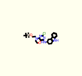 CC(C)(C)[Si](C)(C)OCCN1CCOc2c(N[C@@H]3CCc4[nH]c5ccccc5c4C3)nc(Cl)nc21